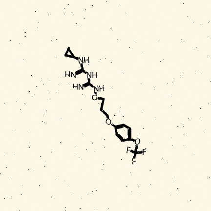 N=C(NOCCCOc1ccc(OC(F)(F)F)cc1)NC(=N)NC1CC1